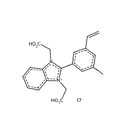 C=Cc1cc(C)cc(-c2n(CC(=O)O)c3ccccc3[n+]2CC(=O)O)c1.[Cl-]